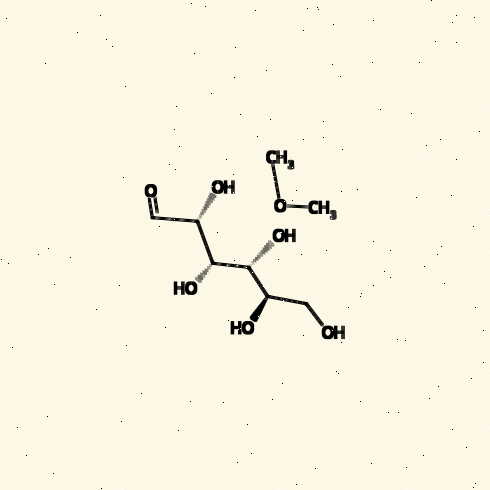 COC.O=C[C@H](O)[C@@H](O)[C@H](O)[C@H](O)CO